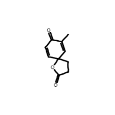 CC1=CC2(C=CC1=O)CCC(=O)O2